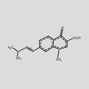 CN(C)/N=N/c1ccc2c(=O)c(C(=O)O)cn(C)c2c1